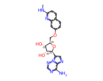 CNc1ccc2ccc(OC[C@H]3O[C@@H](c4cnc5c(N)ncnn45)[C@H](O)[C@@H]3O)cc2n1